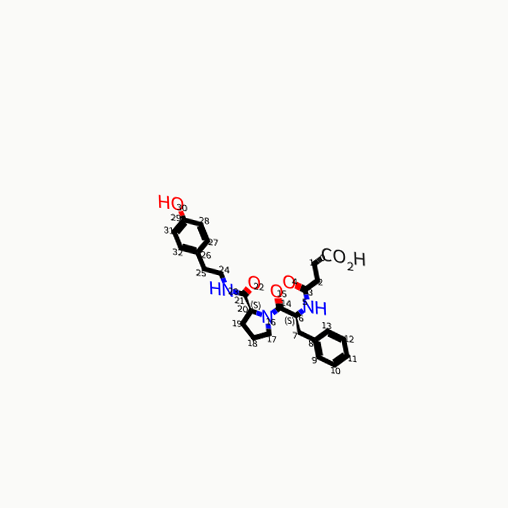 O=C(O)CCC(=O)N[C@@H](Cc1ccccc1)C(=O)N1CCC[C@H]1C(=O)NCCc1ccc(O)cc1